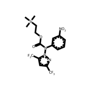 C[Si](C)(C)CCOC(=O)N(c1cccc([N+](=O)[O-])c1)n1nc(C(F)(F)F)cc1C(F)(F)F